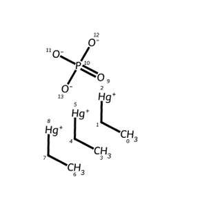 C[CH2][Hg+].C[CH2][Hg+].C[CH2][Hg+].O=P([O-])([O-])[O-]